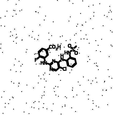 CS(=O)(=O)Nc1ccccc1Nc1nc(Nc2cc(C(=O)O)ccc2F)ncc1Cl